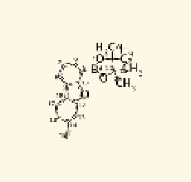 CC1(C)OB(c2cccc3c2oc2cc(F)ccc23)OC1(C)C